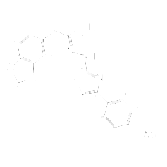 COc1ccc(-c2csc(NN=C(C)Cc3ccc4c(c3)OCO4)n2)cc1